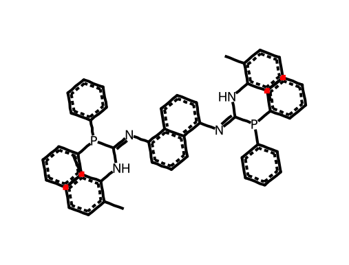 Cc1cccc(C)c1N/C(=N\c1cccc2c(/N=C(\Nc3c(C)cccc3C)P(c3ccccc3)c3ccccc3)cccc12)P(c1ccccc1)c1ccccc1